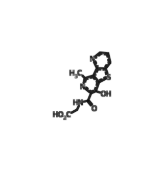 Cc1nc(C(=O)NCC(=O)O)c(O)c2sc3cccnc3c12